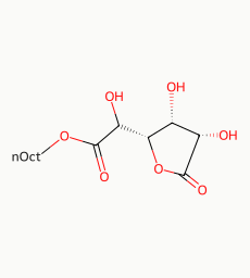 CCCCCCCCOC(=O)C(O)[C@H]1OC(=O)[C@@H](O)[C@H]1O